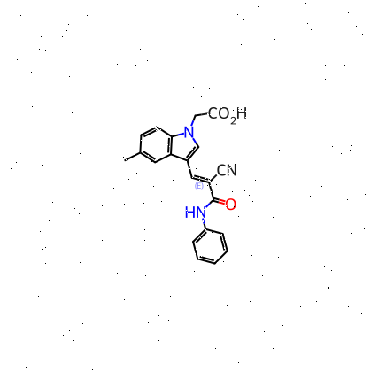 Cc1ccc2c(c1)c(/C=C(\C#N)C(=O)Nc1ccccc1)cn2CC(=O)O